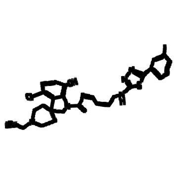 C=C(/C=C\C=C/CNc1nnc(-c2cccc(C)c2)s1)N1CC2(CCN(CC(C)(C)C)CC2)c2c(Cl)ccc(O)c21